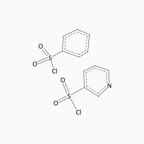 O=S(=O)(Cl)c1ccccc1.O=S(=O)(Cl)c1cccnc1